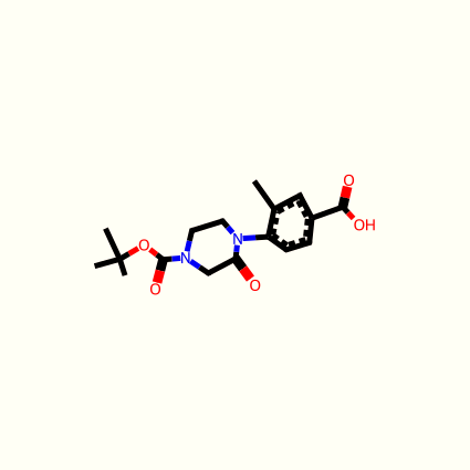 Cc1cc(C(=O)O)ccc1N1CCN(C(=O)OC(C)(C)C)CC1=O